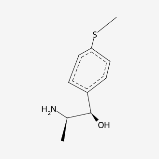 CSc1ccc([C@@H](O)[C@@H](C)N)cc1